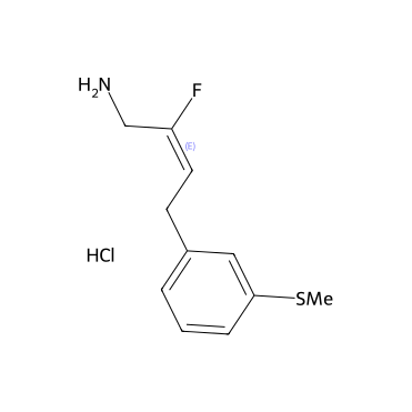 CSc1cccc(C/C=C(/F)CN)c1.Cl